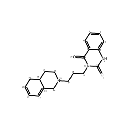 O=c1[nH]c2ccccc2c(=O)n1CCCN1CCC2CC=CC=C2C1